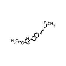 C=CCOc1cnc(-c2ccc3cc(/C=C/CCCC(C)F)ccc3c2)nc1